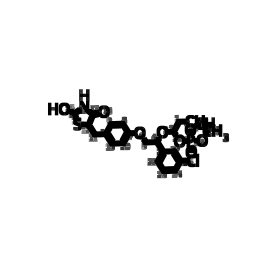 CCC(OC(COc1ccc(CC2SC(O)NC2=O)cc1)c1cccc(Cl)c1)OP(=O)(OC)OC